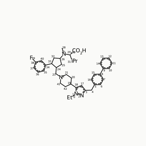 CCn1nc(Cc2ccc(-c3ccccc3)cc2)cc1C1CCN(CC2CC(N(C)[C@@H](C(=O)O)C(C)C)CC2c2cccc(F)c2)CC1